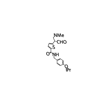 CNCC(C=O)c1ccc(C(=O)NCc2ccc(OC(C)C)cc2)s1